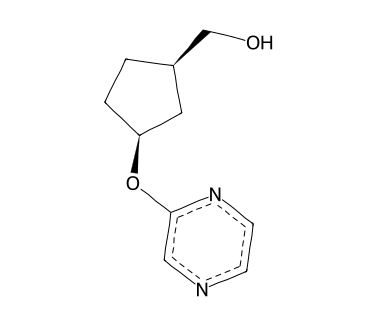 OC[C@@H]1CC[C@H](Oc2cnccn2)C1